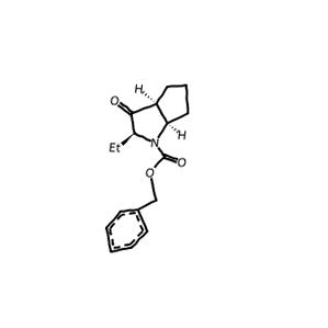 CC[C@H]1C(=O)[C@H]2CCC[C@H]2N1C(=O)OCc1ccccc1